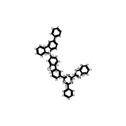 c1ccc(-c2ccc3c(c2)c2ccccc2n3-c2ccc3c(c2)oc2ccc(-c4nc(-c5ccccc5)nc(-c5nc6ccccc6s5)n4)cc23)cc1